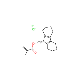 C=C(C)C(=O)[O][Ti+2][CH]1C2=C(CCCC2)C2=C1CCCC2.[Cl-].[Cl-]